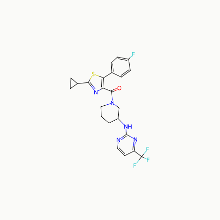 O=C(c1nc(C2CC2)sc1-c1ccc(F)cc1)N1CCCC(Nc2nccc(C(F)(F)F)n2)C1